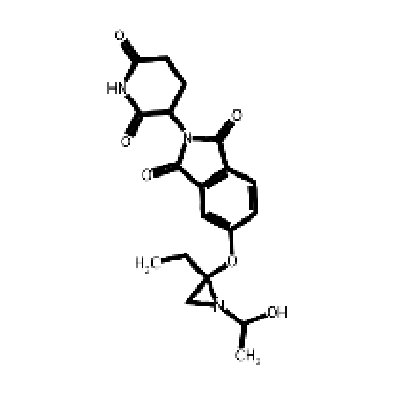 CCC1(Oc2ccc3c(c2)C(=O)N(C2CCC(=O)NC2=O)C3=O)CN1C(C)O